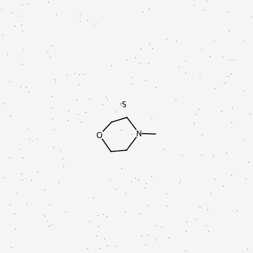 CN1CCOCC1.[S]